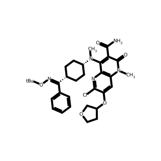 Cn1c(=O)c(C(N)=O)c(N(C)[C@H]2CC[C@@H](/C(=N/OC(C)(C)C)c3ccccc3)CC2)c2nc(Cl)c(OC3CCOC3)cc21